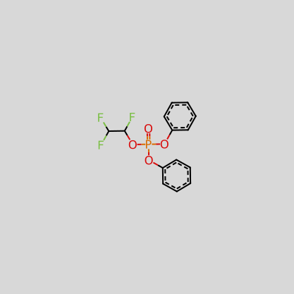 O=P(Oc1ccccc1)(Oc1ccccc1)OC(F)C(F)F